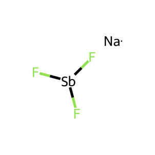 [F][Sb]([F])[F].[Na]